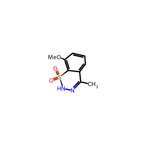 COc1cccc2c1S(=O)(=O)NN=C2C